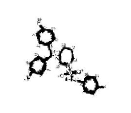 Cc1ccc(NS(=O)(=O)N2CCC[C@@H](C(c3ccc(F)cc3)c3ccc(F)cc3)C2)cc1